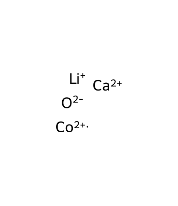 [Ca+2].[Co+2].[Li+].[O-2]